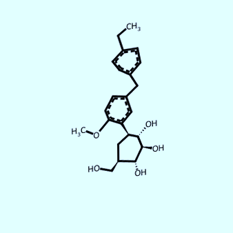 CCc1ccc(Cc2ccc(OC)c([C@@H]3C[C@H](CO)[C@@H](O)[C@H](O)[C@H]3O)c2)cc1